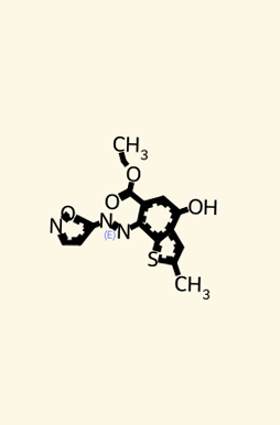 CCOC(=O)c1cc(O)c2cc(C)sc2c1/N=N/c1ccno1